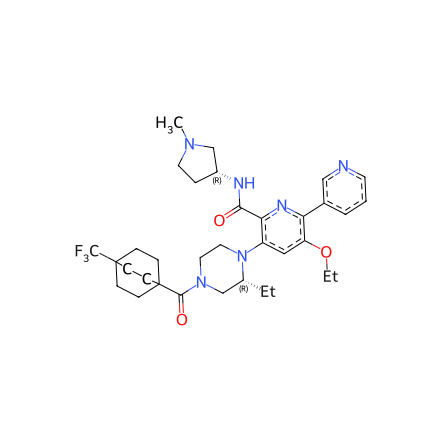 CCOc1cc(N2CCN(C(=O)C34CCC(C(F)(F)F)(CC3)CC4)C[C@H]2CC)c(C(=O)N[C@@H]2CCN(C)C2)nc1-c1cccnc1